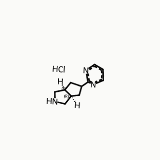 Cl.c1cnc(C2C[C@H]3CNC[C@H]3C2)nc1